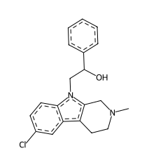 CN1CCc2c(n(CC(O)c3ccccc3)c3ccc(Cl)cc23)C1